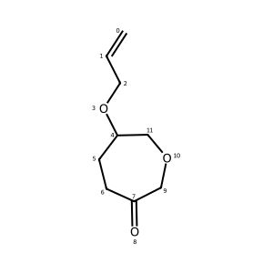 C=CCOC1CCC(=O)COC1